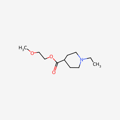 CCN1CCC(C(=O)OCCOC)CC1